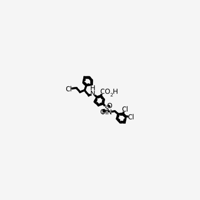 O=C(O)c1cc(S(=O)(=O)NCc2cccc(Cl)c2Cl)ccc1NCC(CCCl)c1ccccc1